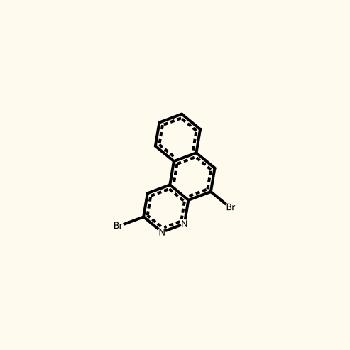 Brc1cc2c(nn1)c(Br)cc1ccccc12